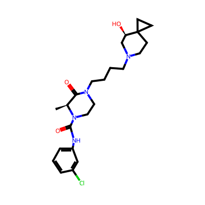 C[C@H]1C(=O)N(CCCCN2CCC3(CC3)[C@H](O)C2)CCN1C(=O)Nc1cccc(Cl)c1